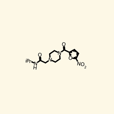 CC(C)NC(=O)CN1CCN(C(=O)c2ccc([N+](=O)[O-])o2)CC1